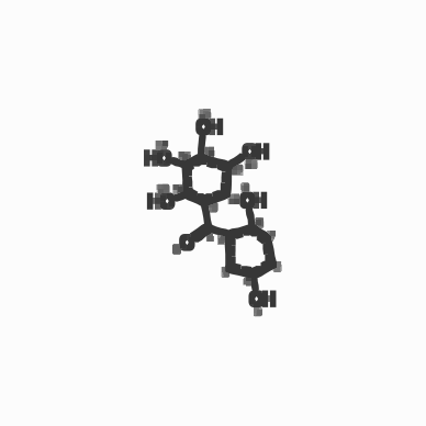 O=C(c1cc(O)ccc1O)c1cc(O)c(O)c(O)c1O